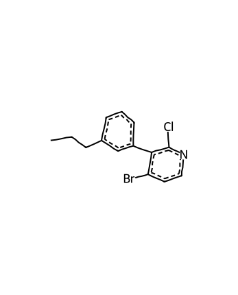 CCCc1cccc(-c2c(Br)ccnc2Cl)c1